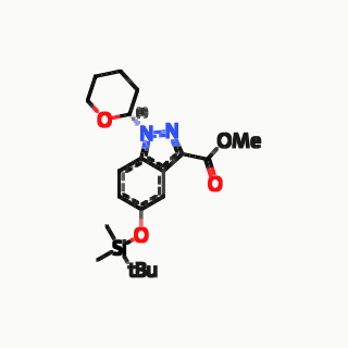 COC(=O)c1nn([C@H]2CCCCO2)c2ccc(O[Si](C)(C)C(C)(C)C)cc12